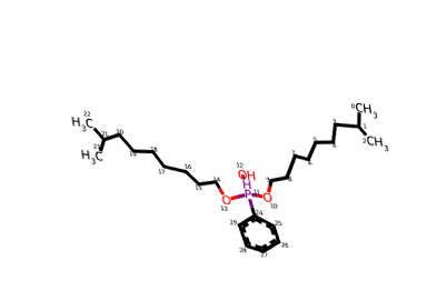 CC(C)CCCCCCCO[PH](O)(OCCCCCCCC(C)C)c1ccccc1